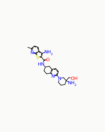 Cc1ccc2c(N)c(C(=O)NC3CCc4nc(N5CCCC(N)(CO)C5)ccc4C3)sc2n1